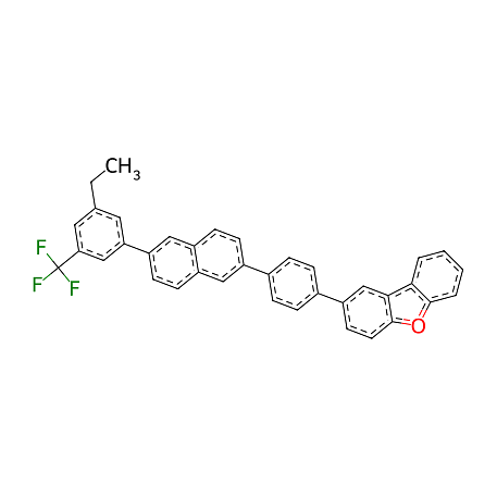 CCc1cc(-c2ccc3cc(-c4ccc(-c5ccc6oc7ccccc7c6c5)cc4)ccc3c2)cc(C(F)(F)F)c1